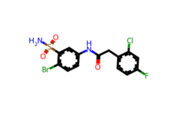 NS(=O)(=O)c1cc(NC(=O)Cc2ccc(F)cc2Cl)ccc1Br